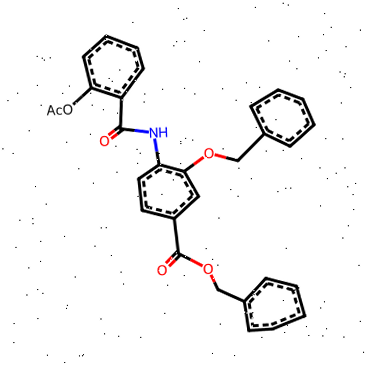 CC(=O)Oc1ccccc1C(=O)Nc1ccc(C(=O)OCc2ccccc2)cc1OCc1ccccc1